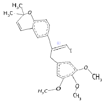 COc1cc(C/C(=C\I)c2ccc3c(c2)C=CC(C)(C)O3)cc(OC)c1OC